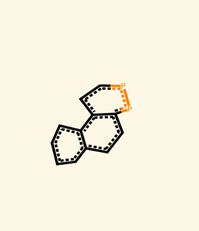 c1ccc2c(c1)ccc1ppccc12